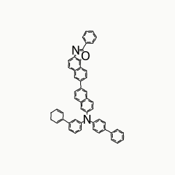 C1=CC(c2cccc(N(c3ccc(-c4ccccc4)cc3)c3ccc4cc(-c5ccc6c(ccc7nc(-c8ccccc8)oc76)c5)ccc4c3)c2)=CCC1